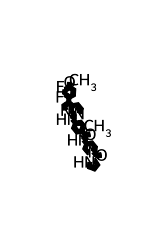 COc1ccc(C2=CN=C3C(Nc4ccc(C(=O)NC5CCN(C(=O)[C@@H]6CCCN6)CC5)c(C)c4)=NC=CC23)c(F)c1F